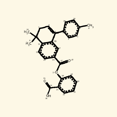 Cc1ccc(C2=CCC(C)(C)c3ccc(C(=O)Oc4ccccc4C(=O)O)cc32)cc1